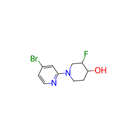 OC1CCN(c2cc(Br)ccn2)CC1F